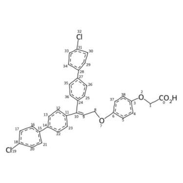 O=C(O)COc1ccc(OCC=C(c2ccc(-c3ccc(Cl)cc3)cc2)c2ccc(-c3ccc(Cl)cc3)cc2)cc1